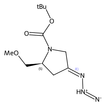 COC[C@@H]1C/C(=N\[NH+]=[N-])CN1C(=O)OC(C)(C)C